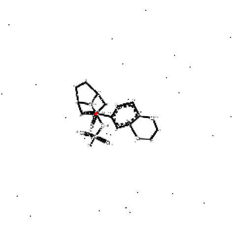 CS(=O)(=O)OC1=CC2CCC(C1)N2C(=O)c1ccc2c(c1)OCCO2